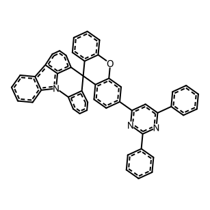 c1ccc(-c2cc(-c3ccc4c(c3)Oc3ccccc3C43c4ccccc4-n4c5ccccc5c5cccc3c54)nc(-c3ccccc3)n2)cc1